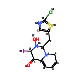 O=C1C2=CC=CCN2C(Cc2cnc(Cl)s2)N(O)C1I